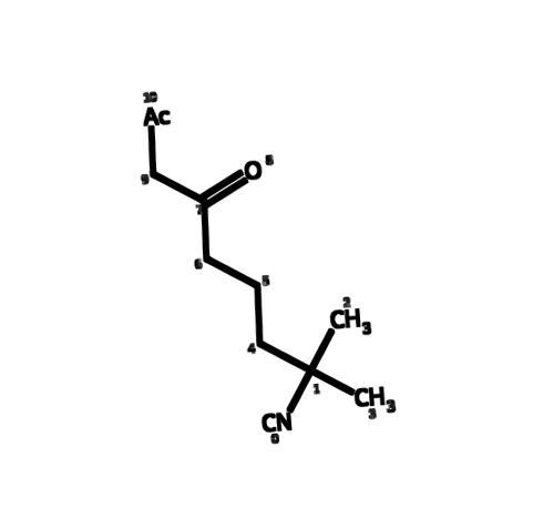 [C-]#[N+]C(C)(C)CCCC(=O)CC(C)=O